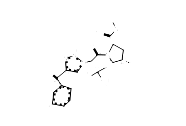 CNC(=O)[C@@H]1C[C@@H](O)CN1C(=O)[C@@H](n1cc(C(=O)c2ccccc2)nn1)C(C)(C)C